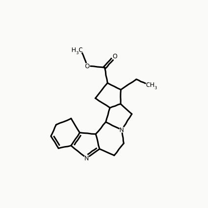 CCC1C(C(=O)OC)CC2C1CN1CCC3=NC4=C(CCC=C4)C3C21